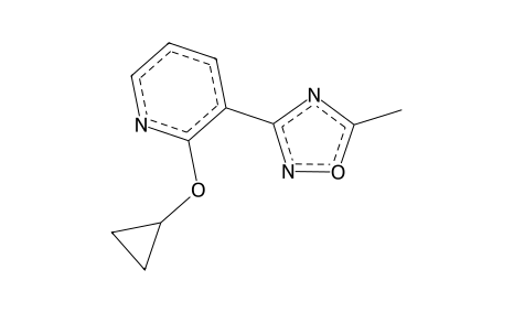 Cc1nc(-c2cccnc2OC2CC2)no1